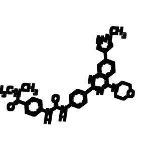 CN(C)C(=O)c1ccc(NC(=O)Nc2ccc(-c3nc(N4CCOCC4)c4ccc(-c5cnn(C)c5)cc4n3)cc2)cc1